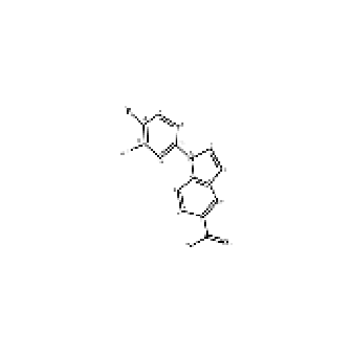 CC(=O)c1ccc2c(ccn2-c2ccc(F)c(F)c2)c1